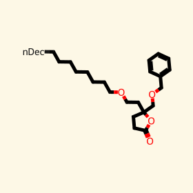 CCCCCCCCCCCCCCCCCCOCCC1(COCc2ccccc2)CCC(=O)O1